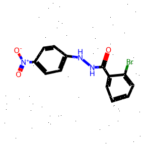 O=C(NNc1ccc([N+](=O)[O-])cc1)c1ccccc1Br